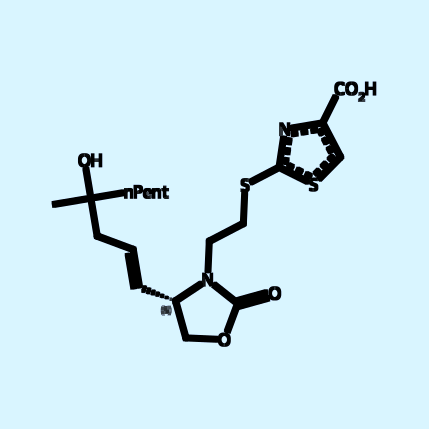 CCCCCC(C)(O)CC=C[C@H]1COC(=O)N1CCSc1nc(C(=O)O)cs1